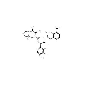 O=C(O)c1cccc2c1OB(O)[C@@H](NC(=O)C(NC(=O)N1C[C@@H]3CCCN3C(=O)C1=O)c1ncc(O)c(O)c1Cl)C2